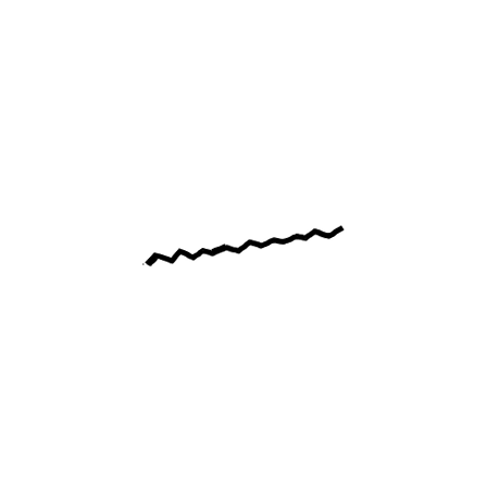 [CH]=CCCCCC=CCCCCCCCCCC